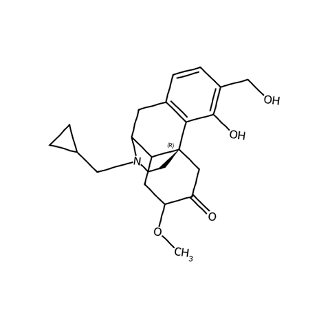 COC1CC2C3Cc4ccc(CO)c(O)c4[C@]2(CCN3CC2CC2)CC1=O